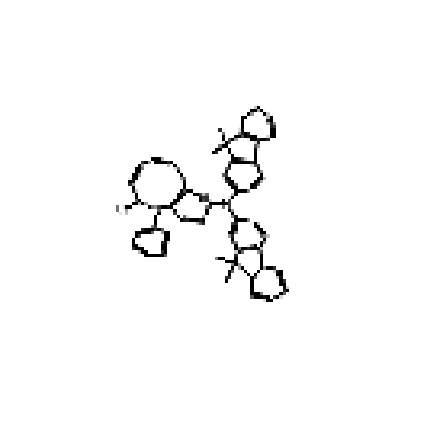 CC/C1=C(\C=C/CN(c2ccc3c(c2)C(C)(C)C2=C3C=CCC2)c2ccc3c(c2)C(C)(C)C2C=CC=CC32)N(c2ccccc2)C(CC)/C=C\C=C/C1